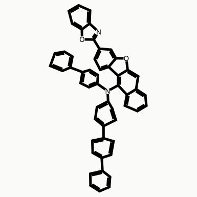 c1ccc(-c2ccc(-c3ccc(N(c4ccc(-c5ccccc5)cc4)c4c5ccccc5cc5oc6cc(-c7nc8ccccc8o7)ccc6c45)cc3)cc2)cc1